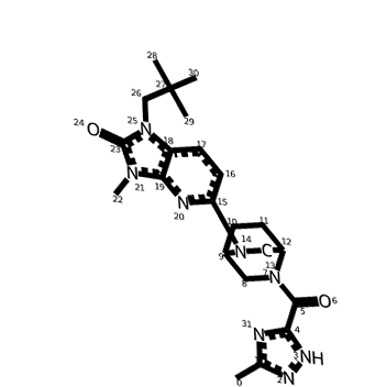 Cc1n[nH]c(C(=O)N2CC3CCC2CN3c2ccc3c(n2)n(C)c(=O)n3CC(C)(C)C)n1